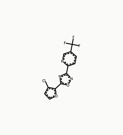 FC(F)(F)c1ccc(-c2noc(-c3occc3Cl)n2)nc1